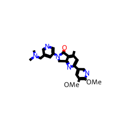 COc1cc(-c2cc(C)c3c(n2)CN(c2cncc(CN(C)C)c2)C3=O)cnc1OC